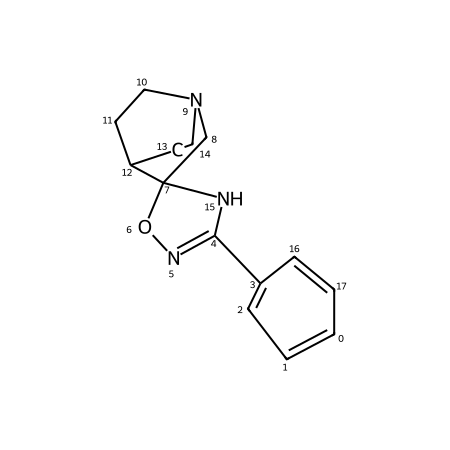 c1ccc(C2=NOC3(CN4CCC3CC4)N2)cc1